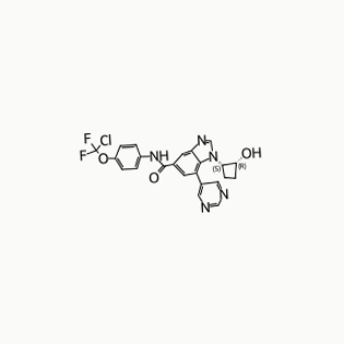 O=C(Nc1ccc(OC(F)(F)Cl)cc1)c1cc(-c2cncnc2)c2c(c1)ncn2[C@H]1CC[C@H]1O